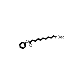 CCCCCCCCCCCCCCCC=CCCC(=O)Oc1ccccc1